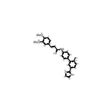 COc1ccc(/C=C/C(=O)Nc2ccc(-c3cc(-c4ncco4)ccc3C)cc2)cc1OC